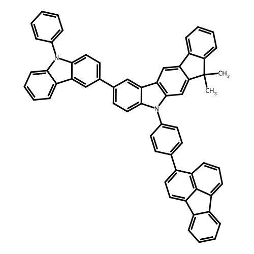 CC1(C)c2ccccc2-c2cc3c4cc(-c5ccc6c(c5)c5ccccc5n6-c5ccccc5)ccc4n(-c4ccc(-c5ccc6c7c(cccc57)-c5ccccc5-6)cc4)c3cc21